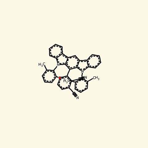 Cc1cccc(C)c1-n1c2ccccc2c2cc3c4ccccc4n(-c4c(C)cccc4C)c3c(-c3cccc(C#N)c3C#N)c21